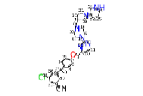 CC(C)(c1ccc(OCc2ccnc(N3CCN(CC4CCN(C5CCCNC5)C4)CC3)n2)cc1)c1cc(Cl)cc(C#N)c1